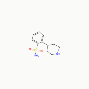 NS(=O)(=O)c1ccccc1C1CCNCC1